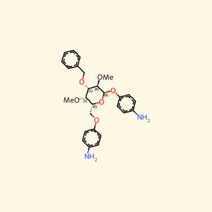 CO[C@@H]1[C@H](OCc2ccccc2)[C@@H](OC)[C@@H](Oc2ccc(N)cc2)O[C@@H]1COc1ccc(N)cc1